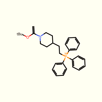 C=C(OC(C)(C)C)N1CCC(CC[PH](c2ccccc2)(c2ccccc2)c2ccccc2)CC1